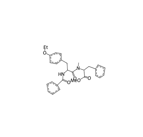 CCOc1ccc(CC(NC(=O)c2ccccc2)C(=O)N(C)C(Cc2ccccc2)C(=O)OC)cc1